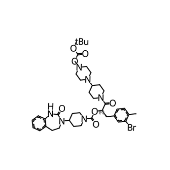 Cc1ccc(C[C@@H](OC(=O)N2CCC(N3CCc4ccccc4NC3=O)CC2)C(=O)N2CCC(N3CCN(OC(=O)OC(C)(C)C)CC3)CC2)cc1Br